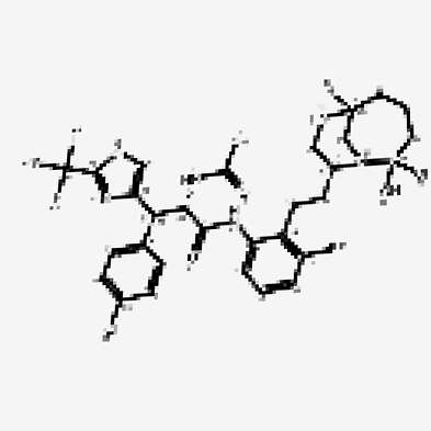 O=C(O)N[C@H](C(=O)Nc1cccc(F)c1CC[C@H]1CN[C@@H]2CCCS(O)(O)N1C2)[C@@H](c1ccc(Cl)cc1)c1csc(C(F)(F)F)n1